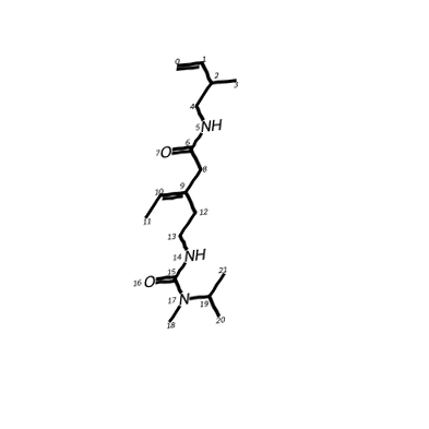 C=CC(C)CNC(=O)CC(=CC)CCNC(=O)N(C)C(C)C